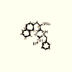 CCNC(=O)N(Cc1ccccc1)NC(=O)C(Cc1ccc2ccccc2c1)NC